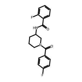 O=C(NC1CCCN(C(=O)c2ccc(F)cc2)C1)c1ccccc1F